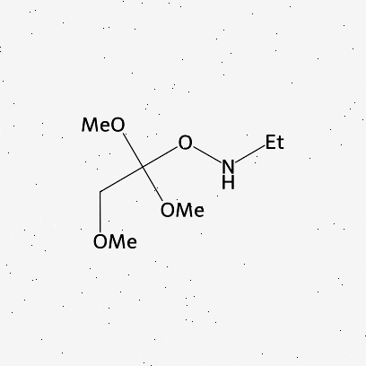 CCNOC(COC)(OC)OC